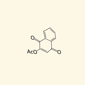 CC(=O)OC1=CC(=O)c2ccccc2C1=O